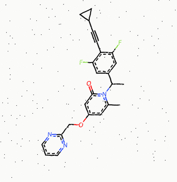 Cc1cc(OCc2ncccn2)cc(=O)n1C(C)c1cc(F)c(C#CC2CC2)c(F)c1